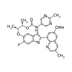 COc1cc(-c2nc3cc(F)c(O[C@@H](C)[C@@H](C)OC(=O)Nc4cnc(C)nc4)cc3s2)c2ncc(C)cc2c1